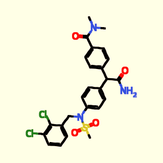 CN(C)C(=O)c1ccc(C(C(N)=O)c2ccc(N(Cc3cccc(Cl)c3Cl)S(C)(=O)=O)cc2)cc1